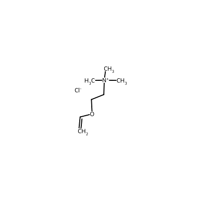 C=COCC[N+](C)(C)C.[Cl-]